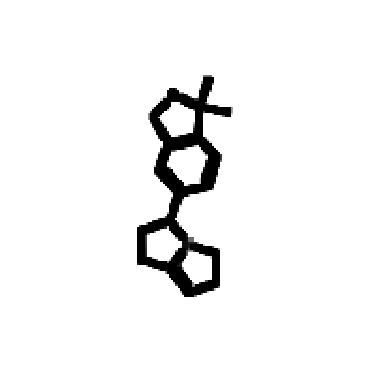 CC1(C)OCc2cc(C3CCC4=CCCN43)ccc21